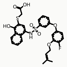 CC(C)=CCOc1cc(Oc2cccc(S(=O)(=O)Nc3cc(SCC(=O)O)c(O)c4ccccc34)c2)ccc1F